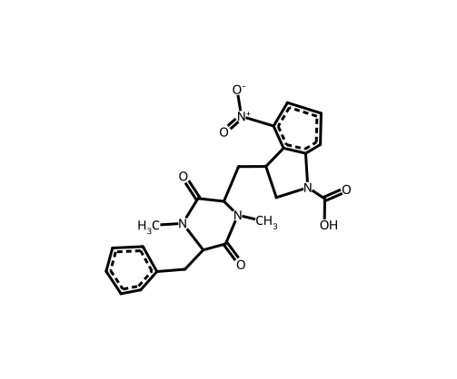 CN1C(=O)C(CC2CN(C(=O)O)c3cccc([N+](=O)[O-])c32)N(C)C(=O)C1Cc1ccccc1